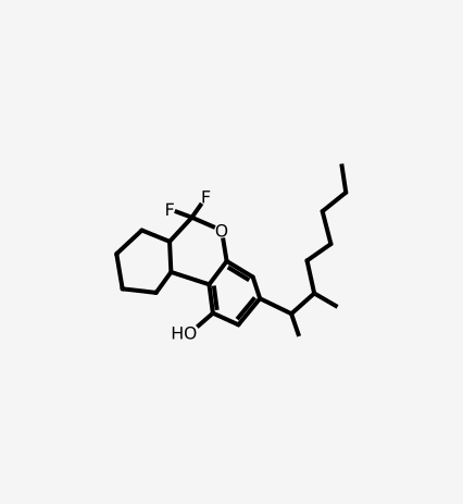 CCCCCC(C)C(C)c1cc(O)c2c(c1)OC(F)(F)C1CCCCC21